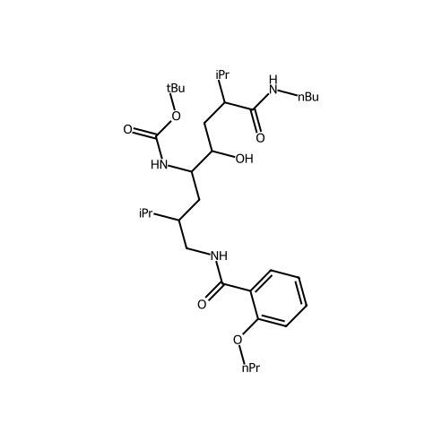 CCCCNC(=O)C(CC(O)C(CC(CNC(=O)c1ccccc1OCCC)C(C)C)NC(=O)OC(C)(C)C)C(C)C